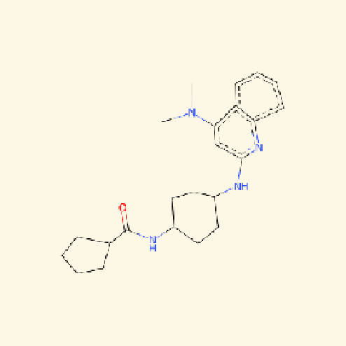 CN(C)c1cc(NC2CCC(NC(=O)C3CCCC3)CC2)nc2ccccc12